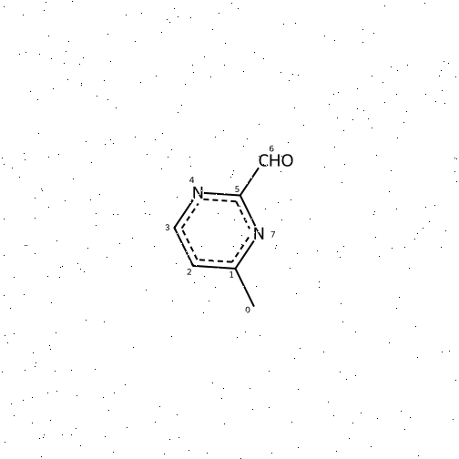 Cc1ccnc(C=O)n1